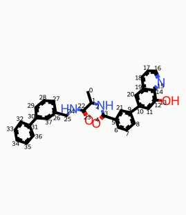 CC(NC(=O)c1cccc(-c2cc(O)c3ncccc3c2)c1)C(=O)NCc1cccc(-c2ccccc2)c1